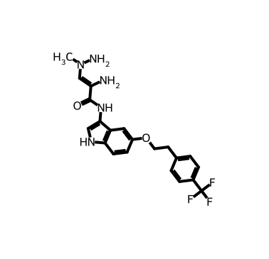 CN(N)/C=C(\N)C(=O)Nc1c[nH]c2ccc(OCCc3ccc(C(F)(F)F)cc3)cc12